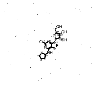 OC[C@@H]1O[C@H](n2cnc3c(NC4CCCC4)nc(Cl)nc32)[C@@H](O)[C@H]1O